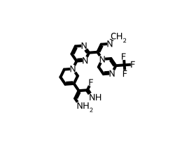 C=N/C=C(/c1nccc(N2CCC=C(/C(=C/N)C(=N)F)C2)n1)N1C=C(C(F)(F)F)N=CC1